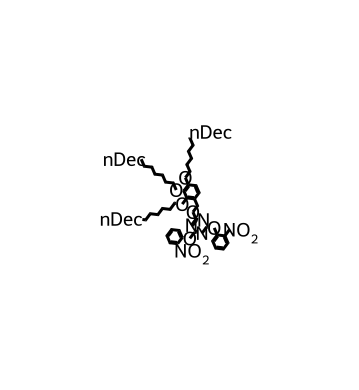 CCCCCCCCCCCCCCCCOc1ccc(COc2nc(Oc3ccccc3[N+](=O)[O-])nc(Oc3ccccc3[N+](=O)[O-])n2)c(OCCCCCCCCCCCCCCCC)c1OCCCCCCCCCCCCCCCC